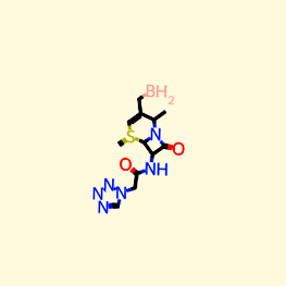 BCC1=CS(=C)C2C(NC(=O)Cn3cnnn3)C(=O)N2C1C